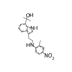 Cc1cc([N+](=O)[O-])ccc1NCCc1c[nH]c2c(C(C)(C)O)cccc12